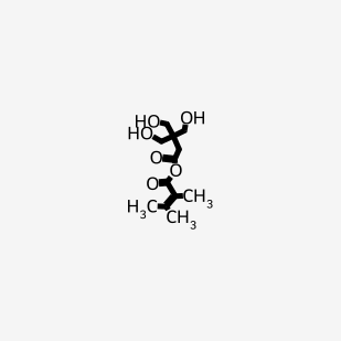 CC(C)=C(C)C(=O)OC(=O)CC(CO)(CO)CO